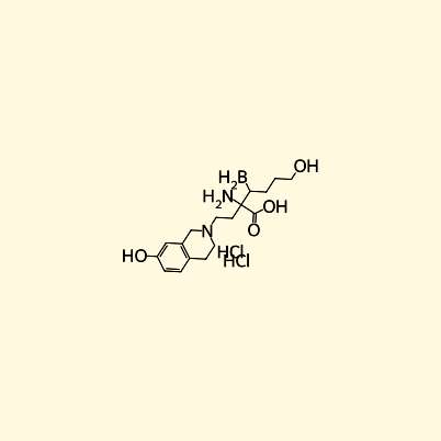 BC(CCCO)C(N)(CCN1CCc2ccc(O)cc2C1)C(=O)O.Cl.Cl